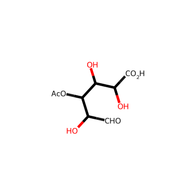 CC(=O)OC(C(O)C=O)C(O)C(O)C(=O)O